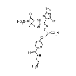 CCc1sc(N)nc1C(=NOC(COc1ccc(C(=N)NCCN)cc1)C(=O)O)C(=O)NC1C(=O)N(S(=O)(=O)O)C1(C)C